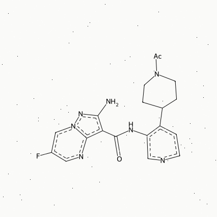 CC(=O)N1CCC(c2ccncc2NC(=O)c2c(N)nn3cc(F)cnc23)CC1